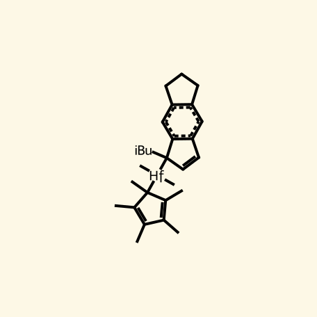 CCC(C)[C]1([Hf]([CH3])([CH3])[C]2(C)C(C)=C(C)C(C)=C2C)C=Cc2cc3c(cc21)CCC3